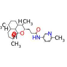 Cc1ccc(NC(=O)CC[C@H]2O[C@@H]3O[C@]4(C)CC[C@H]5[C@H](C)CC[C@@H]([C@H]2C)[C@@]35OO4)cn1